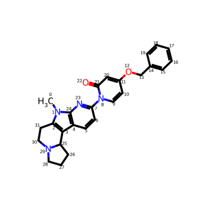 Cn1c2c(c3ccc(-n4ccc(OCc5ccccc5)cc4=O)nc31)C1CCCN1CC2